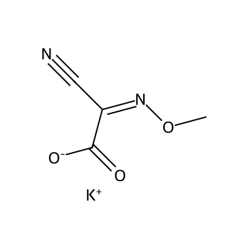 CON=C(C#N)C(=O)[O-].[K+]